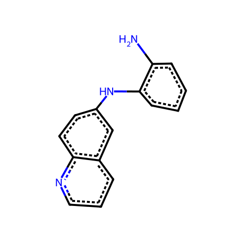 Nc1ccccc1Nc1ccc2ncccc2c1